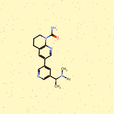 CC(=O)N(C)[C@@H](C)c1cncc(-c2cnc3c(c2)CCCN3C(N)=O)c1